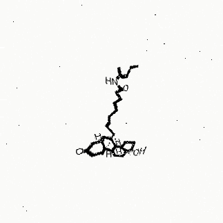 CCCC(C)NC(=O)CCCCCCCC[C@@H]1C[C@H]2CC(=O)CC[C@]2(C)[C@H]2CC[C@]3(C)[C@@H](O)CC[C@H]3[C@H]12